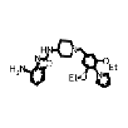 CCOc1cc(CN2CCC(Nc3nc4c(N)cccc4o3)CC2)cc(OCC)c1-n1cccc1